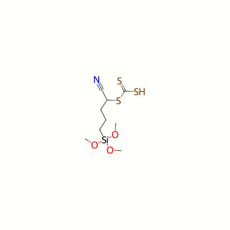 CO[Si](CCCC(C#N)SC(=S)S)(OC)OC